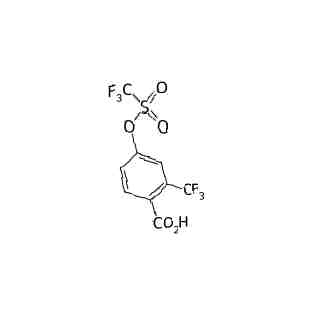 O=C(O)c1ccc(OS(=O)(=O)C(F)(F)F)cc1C(F)(F)F